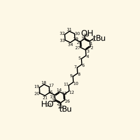 CC(C)(C)c1cc(CCCCCCCCCc2cc(C3CCCCC3)c(O)c(C(C)(C)C)c2)cc(C2CCCCC2)c1O